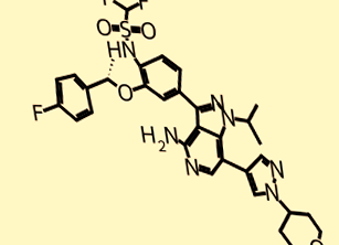 CC(C)n1nc(-c2ccc(NS(=O)(=O)C(F)F)c(O[C@@H](C)c3ccc(F)cc3)c2)c2c(N)ncc(-c3cnn(C4CCOCC4)c3)c21